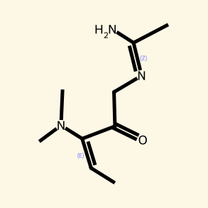 C/C=C(\C(=O)C/N=C(/C)N)N(C)C